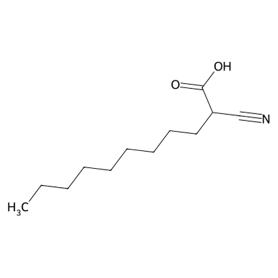 CCCCCCCCCC(C#N)C(=O)O